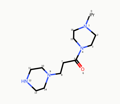 CC(C)N1CCN(C(=O)CCN2CCNCC2)CC1